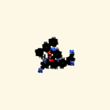 CC(=O)c1c(C(=O)Nc2cc(-c3ccccc3)ccc2-c2ccccc2)cccc1-n1c2cc(-c3cncc(C#N)c3)ccc2c2ccc(-c3cncc(C#N)c3)cc21